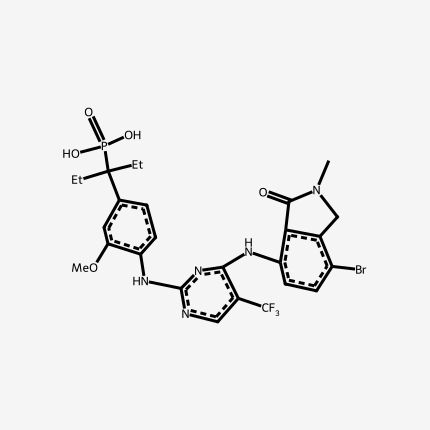 CCC(CC)(c1ccc(Nc2ncc(C(F)(F)F)c(Nc3ccc(Br)c4c3C(=O)N(C)C4)n2)c(OC)c1)P(=O)(O)O